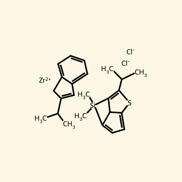 CC(C)C1=C2C3C(=CC=C3[Si]2(C)C)S1.CC(C)C1=Cc2ccccc2C1.[Cl-].[Cl-].[Zr+2]